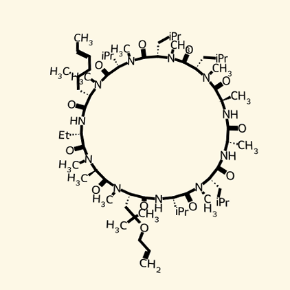 C=CCOC(C)(C)C[C@H]1C(=O)N[C@@H](C(C)C)C(=O)N(C)[C@@H](CC(C)C)C(=O)N[C@@H](C)C(=O)N[C@H](C)C(=O)N(C)[C@@H](CC(C)C)C(=O)N(C)[C@@H](CC(C)C)C(=O)N(C)[C@@H](C(C)C)C(=O)N(C)[C@@H](C[C@H](C)C/C=C/C)C(=O)N[C@@H](CC)C(=O)N(C)[C@H](C)C(=O)N1C